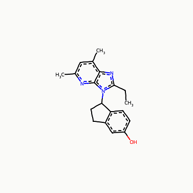 CCc1nc2c(C)cc(C)nc2n1C1CCc2cc(O)ccc21